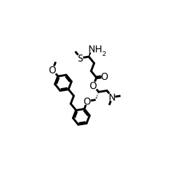 COc1ccc(CCc2ccccc2OC[C@@H](CN(C)C)OC(=O)CC[C@H](N)SC)cc1